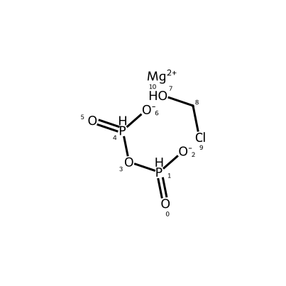 O=[PH]([O-])O[PH](=O)[O-].OCCl.[Mg+2]